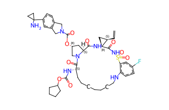 C=C[C@@H]1C[C@@]12NC(=O)[C@@H]1C[C@@H](OC(=O)N3Cc4ccc(C5(N)CC5)cc4C3)CN1C(=O)[C@@H](NC(=O)OC1CCCC1)CCCCCCCNc1ccc(F)cc1S(=O)(=O)NC2=O